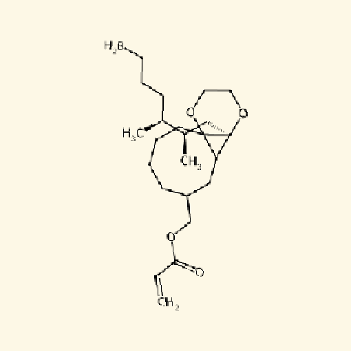 BCCC[C@H](C)[C@H](C)C[C@@]12OCCOC13CCCCC(COC(=O)C=C)CC32